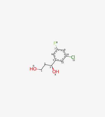 OCC[C@H](O)c1cc(F)cc(Cl)c1